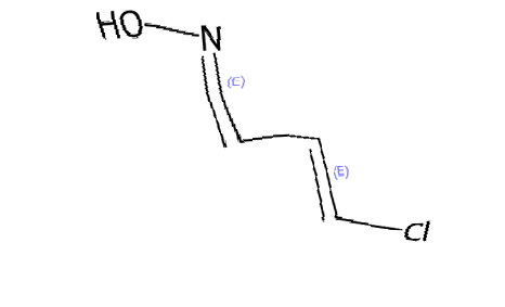 O/N=C/C=C/Cl